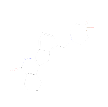 O=c1[nH]c2c(c3c1CCCC3)Cc1c(CN3CCS(=O)(=O)CC3)cccc1-2